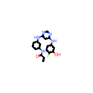 C=CC(=O)Nc1cccc(Nc2cc(Nc3ccc(F)c(O)c3)ncn2)c1